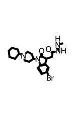 CNNC(=O)CC1C(=O)N(C2CCN(C3CCCCC3)CC2)c2ccc(Br)cc21